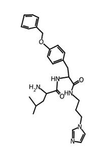 CC(C)CC(N)C(=O)NC(Cc1ccc(OCc2ccccc2)cc1)C(=O)NCCCn1ccnc1